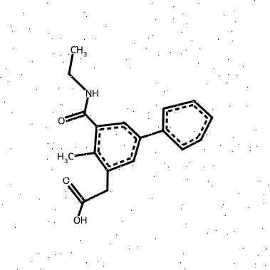 CCNC(=O)c1cc(-c2ccccc2)cc(CC(=O)O)c1C